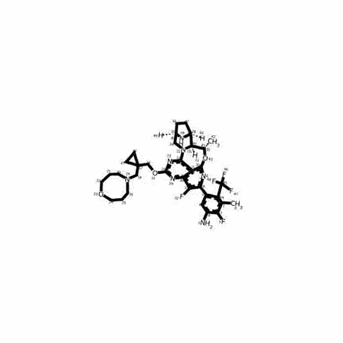 Cc1c(F)c(N)cc(-c2nc3c4c(nc(OCC5(CN6CCCOCCC6)CC5)nc4c2F)N2C[C@H]4CC[C@H](N4)[C@H]2[C@H](C)O3)c1C(F)(F)F